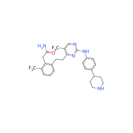 NC(=O)Cc1c(CCc2nc(Nc3ccc(C4CCNCC4)cc3)ncc2C(F)(F)F)cccc1C(F)(F)F